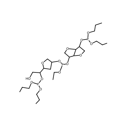 CCCOP(OCCC)OC(CO)C1CC(OP(OCC)OC2COC3C(OP(OCCC)OCCC)COC23)CO1